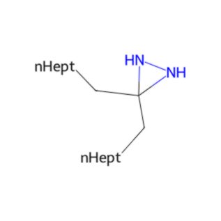 CCCCCCCCC1(CCCCCCCC)NN1